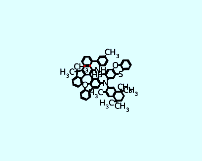 Cc1ccc(Nc2ccc3c(c2-c2c4c(cc5c2oc2ccccc25)N(c2cc5c(cc2C)C(C)(C)CCC5(C)C)c2cc5c(cc2B4)Oc2ccccc2S5)-c2ccccc2C3(C)C)c(-c2ccccc2)c1